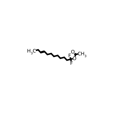 CCC=CCCCCCCCC(F)(F)OC(C)=O